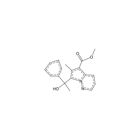 COC(=O)c1c(C)c(C(C)(O)c2ccccc2)n2ncccc12